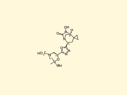 CN(C[C@H](O[Si](C)(C)C(C)(C)C)c1nnc([C@@H]2CC3(CC3)[C@@H]3CN2C(=O)N3O)o1)C(=O)O